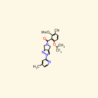 COc1c(C#N)ccc(O[C@@H](C)C(F)(F)F)c1C(=O)N1Cc2cn(-c3cc(C)ccn3)nc2C1